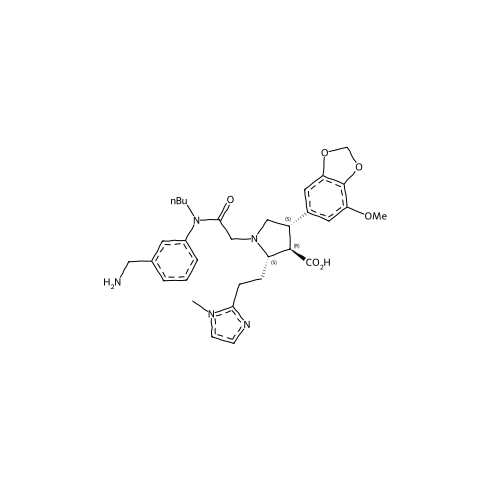 CCCCN(C(=O)CN1C[C@H](c2cc(OC)c3c(c2)OCO3)[C@@H](C(=O)O)[C@@H]1CCc1nccn1C)c1cccc(CN)c1